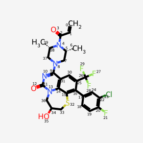 C=CC(=O)N1[C@H](C)CN(c2nc(=O)n3c4c(c(-c5ccc(F)c(Cl)c5)c(C(F)(F)F)cc24)SCC(O)C3)C[C@@H]1C